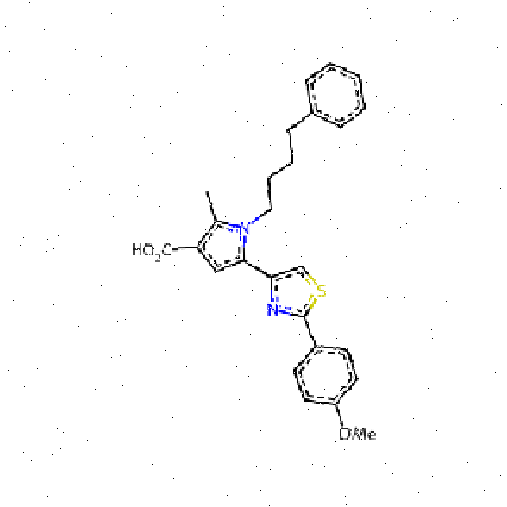 COc1ccc(-c2nc(-c3cc(C(=O)O)c(C)n3CCCCc3ccccc3)cs2)cc1